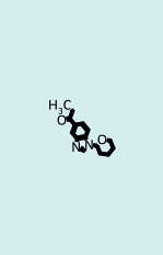 CCC(=O)c1ccc2c(c1)ncn2C1CCCCO1